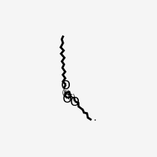 [CH2]CCCCCCOC[C@@H]1C[C@@H](COCCCCCCCCCCCCCC)CO1